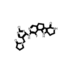 O=C1NCCc2[nH]c3c(c21)CCc1cnc(Nc2nc(Cl)ncc2CN2CCCC2=O)c(F)c1-3